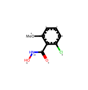 COc1cccc(Cl)c1C(=O)NO